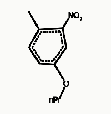 CCCOc1ccc(C)c([N+](=O)[O-])c1